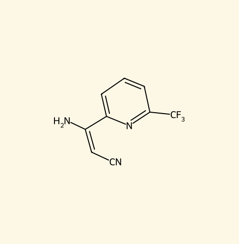 N#C/C=C(/N)c1cccc(C(F)(F)F)n1